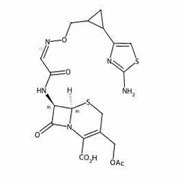 CC(=O)OCC1=C(C(=O)O)N2C(=O)[C@@H](NC(=O)/C=N\OCC3CC3c3csc(N)n3)[C@H]2SC1